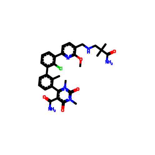 COc1nc(-c2cccc(-c3cccc(-c4c(C(N)=O)c(=O)n(C)c(=O)n4C)c3C)c2Cl)ccc1CNCC(C)(C)C(N)=O